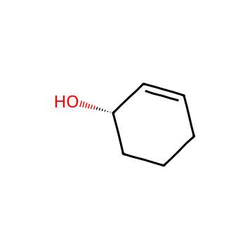 O[C@@H]1C=CCCC1